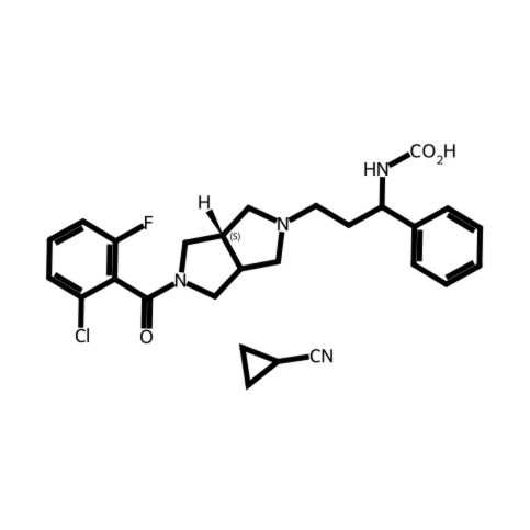 N#CC1CC1.O=C(O)NC(CCN1CC2CN(C(=O)c3c(F)cccc3Cl)C[C@@H]2C1)c1ccccc1